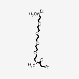 CCN(C)CCOCCOCCOCCOCCN(C)C(=O)CC(C)C